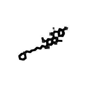 COc1cc2c(N[C@H](C)c3cccc(Br)c3)nc(C)nc2cc1NCCCCCCCN1CCCCC1